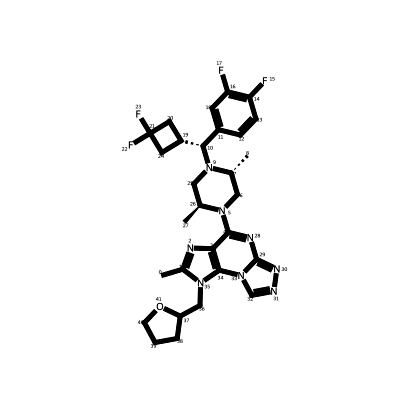 Cc1nc2c(N3C[C@@H](C)N([C@@H](c4ccc(F)c(F)c4)C4CC(F)(F)C4)C[C@@H]3C)nc3nncn3c2n1CC1CCCO1